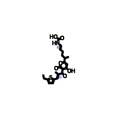 CCc1ccc(/C=C(\C)C(=O)c2c(O)cc(C(C)CC/C=C/NC(=O)O)oc2=O)s1